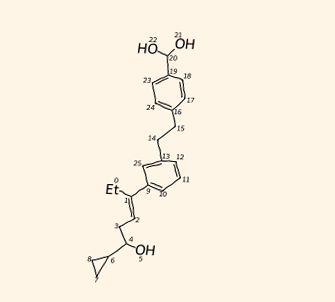 CCC(=CCC(O)C1CC1)c1cccc(CCc2ccc(C(O)O)cc2)c1